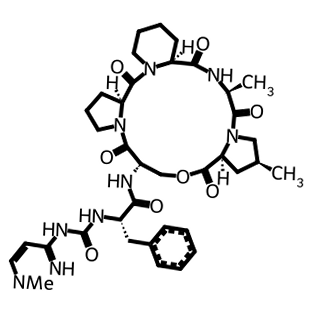 CN/C=C\C(=N)NC(=O)N[C@@H](Cc1ccccc1)C(=O)N[C@H]1COC(=O)[C@@H]2C[C@H](C)CN2C(=O)[C@H](C)NC(=O)[C@@H]2CCCCN2C(=O)[C@@H]2CCCN2C1=O